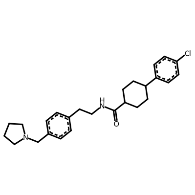 O=C(NCCc1ccc(CN2CCCC2)cc1)C1CCC(c2ccc(Cl)cc2)CC1